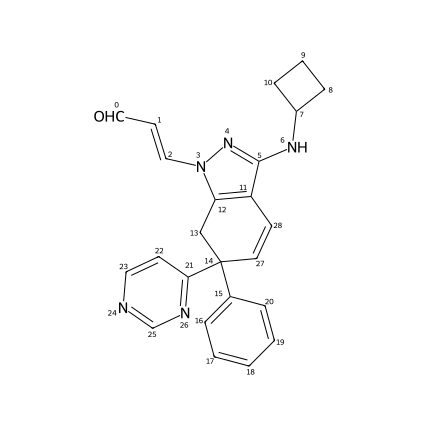 O=CC=Cn1nc(NC2CCC2)c2c1CC(c1ccccc1)(c1ccncn1)C=C2